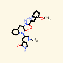 C=NCC(CC1CCNC1=O)NC(=O)C(CC1CCCCC1)NC(=O)c1cc2c(OC)cccc2[nH]1